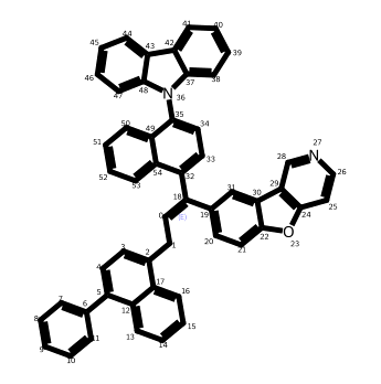 C(/Cc1ccc(-c2ccccc2)c2ccccc12)=C(/c1ccc2oc3ccncc3c2c1)c1ccc(-n2c3ccccc3c3ccccc32)c2ccccc12